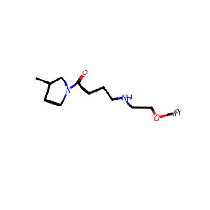 CC1CCN(C(=O)CCCNCCOC(C)C)C1